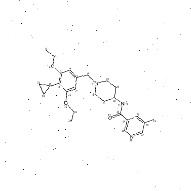 CCOc1cc(CN2CCC(NC(=O)c3cncc(C)c3)CC2)cc(OCC)c1C1CC1